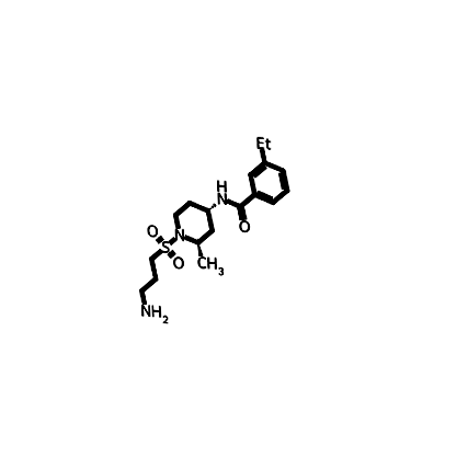 CCc1cccc(C(=O)N[C@H]2CCN(S(=O)(=O)CCCN)[C@H](C)C2)c1